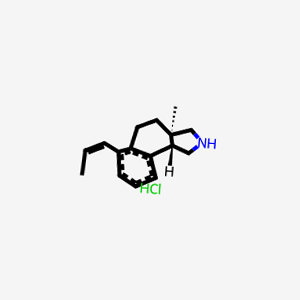 C/C=C\c1cccc2c1CC[C@@]1(C)CNC[C@H]21.Cl